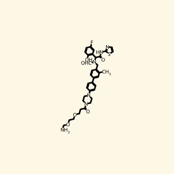 Cc1cc(-c2ccc(N3CCN(C(=O)CCOCCOCN)CC3)cc2)ccc1CN(C=O)C(C(=O)Nc1nccs1)c1cc(F)ccc1O